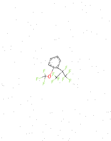 FC(F)(F)Oc1ccccc1C(F)(C(F)(F)F)C(F)(F)F